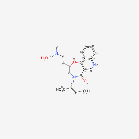 CN(C)CCC1CN(C)C(=O)c2cnc3ccccc3c2O1.O.O=C(O)/C=C/C(=O)O